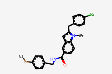 CCSc1ccc(CNC(=O)c2ccc3c(c2)cc(Cc2ccc(Br)cc2)n3C(C)C)cc1